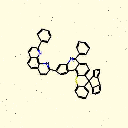 c1ccc(-c2ccc3ccc4ccc(-c5ccc6c(c5)nc(-c5ccccc5)c5ccc7c(c56)Sc5ccccc5C75c6ccccc6-c6ccccc65)nc4c3n2)cc1